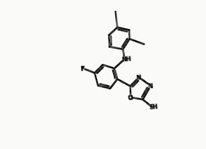 Cc1cc(I)ccc1Nc1cc(F)ccc1-c1nnc(S)o1